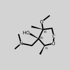 CO[C@]1(C)CCO[C@@H](C)[C@]1(O)CN(C)C